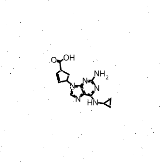 Nc1nc(NC2CC2)c2ncn(C3C=CC(C(=O)O)C3)c2n1